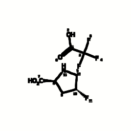 O=C(O)C(F)(F)F.O=C(O)[C@@H]1C[C@@H](F)CN1